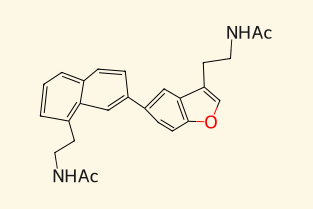 CC(=O)NCCc1cccc2ccc(-c3ccc4occ(CCNC(C)=O)c4c3)cc12